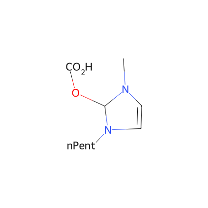 CCCCCN1C=CN(C)C1OC(=O)O